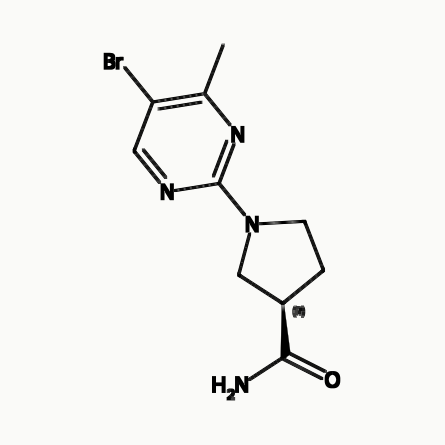 Cc1nc(N2CC[C@@H](C(N)=O)C2)ncc1Br